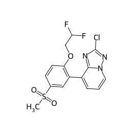 CS(=O)(=O)c1ccc(OCC(F)F)c(-c2cccn3nc(Cl)nc23)c1